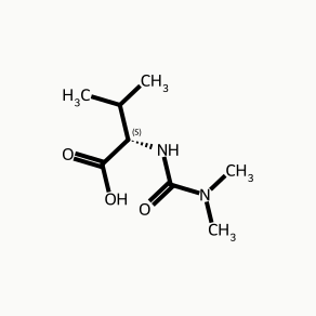 CC(C)[C@H](NC(=O)N(C)C)C(=O)O